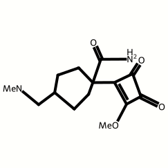 CNCC1CCC(C(N)=O)(c2c(OC)c(=O)c2=O)CC1